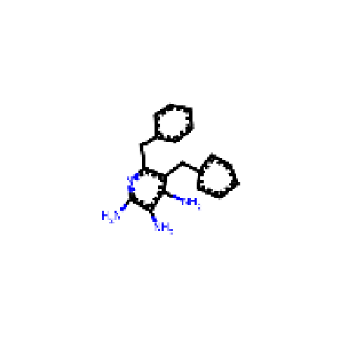 Nc1nc(Cc2ccccc2)c(Cc2ccccc2)c(N)c1N